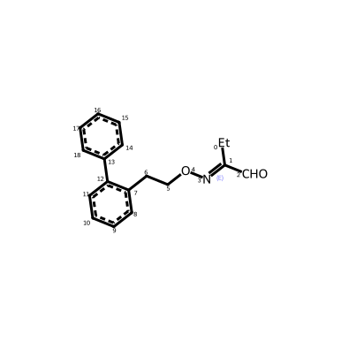 CC/C(C=O)=N\OCCc1ccccc1-c1ccccc1